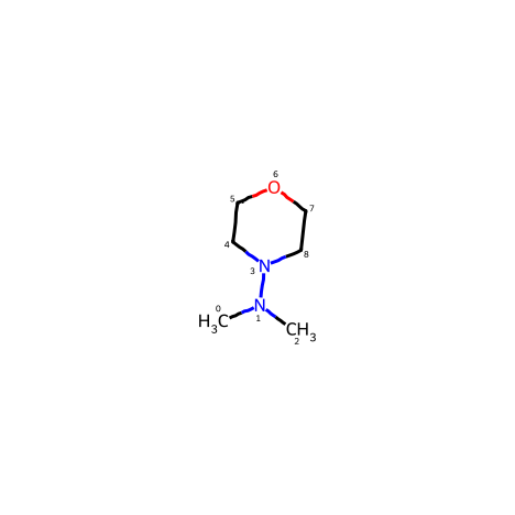 CN(C)N1C[CH]OCC1